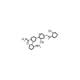 CCc1ccccc1N(C)Cc1cnc(-c2ccc(C(N)=O)c(-c3ccccc3N)c2)c(C#N)c1